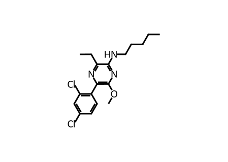 CCCCCNc1nc(OC)c(-c2ccc(Cl)cc2Cl)nc1CC